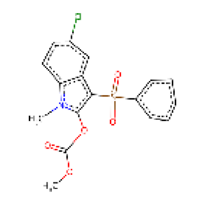 COC(=O)Oc1c(S(=O)(=O)c2ccccc2)c2cc(Cl)ccc2n1C